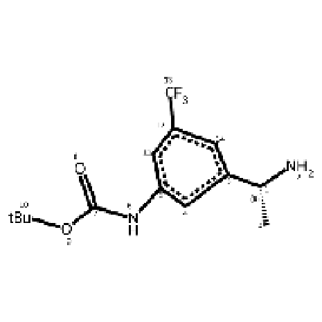 C[C@@H](N)c1cc(NC(=O)OC(C)(C)C)cc(C(F)(F)F)c1